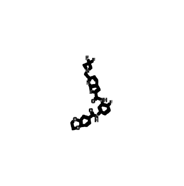 O=C(Nc1ccc(F)c(NC(=O)c2cc3ccc(CN4CC(F)(F)C4)nc3s2)c1)c1ccc2c(c1)OCCO2